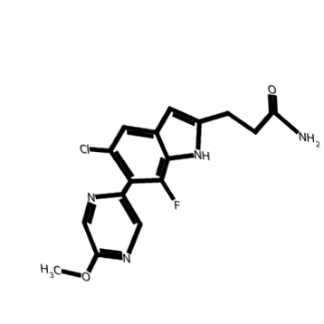 COc1cnc(-c2c(Cl)cc3cc(CCC(N)=O)[nH]c3c2F)cn1